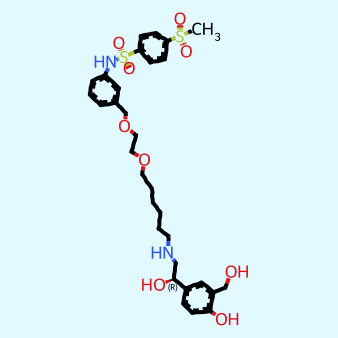 CS(=O)(=O)c1ccc(S(=O)(=O)Nc2cccc(COCCOCCCCCCNC[C@H](O)c3ccc(O)c(CO)c3)c2)cc1